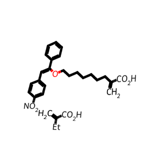 C=C(CC)C(=O)O.C=C(CCCCCCCOC(=Cc1ccc([N+](=O)[O-])cc1)c1ccccc1)C(=O)O